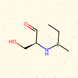 CCB(C)N[C@H](C=O)CO